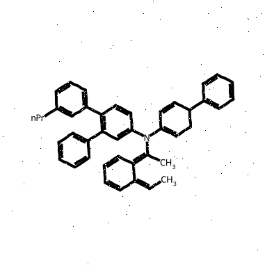 C/C=c1/cccc/c1=C(/C)N(C1=CCC(c2ccccc2)C=C1)c1ccc(-c2cccc(CCC)c2)c(-c2ccccc2)c1